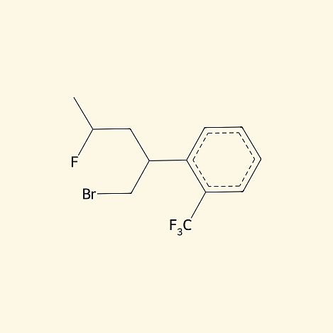 CC(F)CC(CBr)c1ccccc1C(F)(F)F